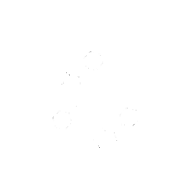 Cc1cc(C)c(C(=O)N[C@@H](C)COc2cccc(OC[C@H](C)NC(=O)c3c(C)cc(C)cc3C)c2I)c(C)c1